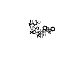 CC(C)(C)[C@H](NC(=O)NC1(CS(=O)(=O)c2ccccc2)CCCCC1)C(=O)N1CC2[C@@H]([C@H]1C(=O)NC(CC1CC1)C(=O)C(N)=O)C2(C)C